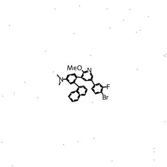 COc1ncc(-c2ccc(Br)c(F)c2)cc1-c1ccc(N(C)C)cc1-c1cccc2ccccc12